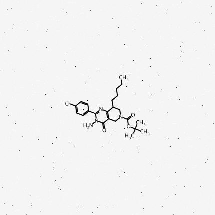 CCCCCC1CN(C(=O)OC(C)(C)C)Cc2c1nc(-c1ccc(Cl)cc1)n(N)c2=O